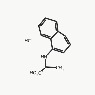 C[C@H](Nc1cccc2ccccc12)C(=O)O.Cl